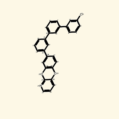 Clc1cccc(-c2cccc(-c3cccc(-c4ccc5c(c4)Oc4ncccc4O5)c3)c2)c1